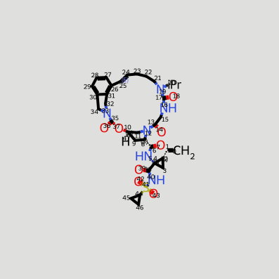 C=C[C@@H]1C[C@]1(NC(=O)[C@@H]1C[C@@H]2CN1C(=O)CNC(=O)N(C(C)C)CCC/C=C/c1cccc3c1CN(C3)C(=O)O2)C(=O)NS(=O)(=O)C1CC1